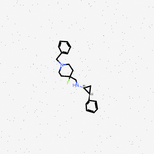 FC1(CN[C@@H]2C[C@H]2c2ccccc2)CCN(Cc2ccccc2)CC1